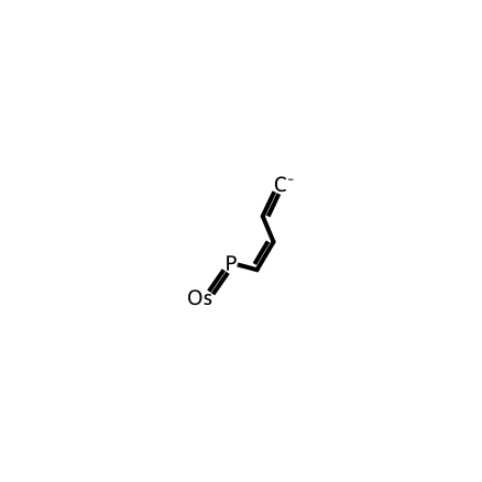 [CH-]=C/C=C\[P]=[Os]